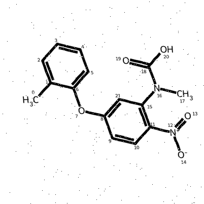 Cc1ccccc1Oc1ccc([N+](=O)[O-])c(N(C)C(=O)O)c1